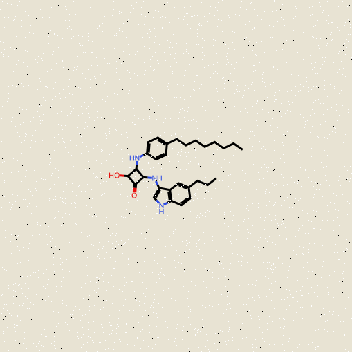 CCCCCCCCc1ccc(NC2C(O)C(=O)C2Nc2c[nH]c3ccc(CCC)cc23)cc1